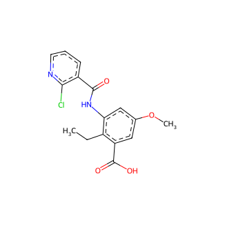 CCc1c(NC(=O)c2cccnc2Cl)cc(OC)cc1C(=O)O